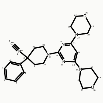 [C-]#[N+]C1(c2ccccc2)CCN(c2nc(N3CCOCC3)cc(N3CCOCC3)n2)CC1